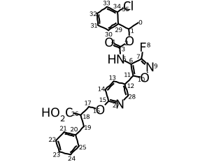 CC(OC(=O)Nc1c(F)noc1-c1ccc(OCC(Cc2ccccc2)C(=O)O)nc1)c1ccccc1Cl